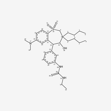 CCCCC1(CCCC)CS(=O)(=O)c2ccc(N(C)C)cc2C(c2cccc(NC(=S)NCC)c2)C1O